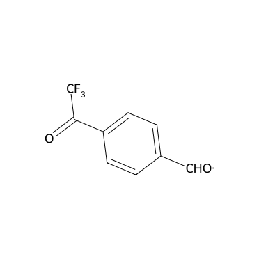 O=[C]c1ccc(C(=O)C(F)(F)F)cc1